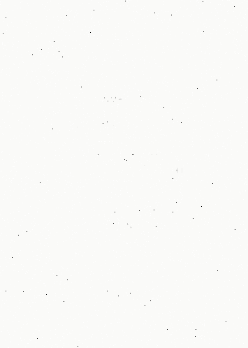 CNC(=O)C1=C(O)CC2CC3Cc4c(Cn5cccc5)ccc(O)c4C(=O)C3=C(O)[C@]2(O)C1=O